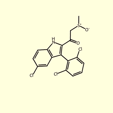 C[S+]([O-])CC(=O)c1[nH]c2ccc(Cl)cc2c1-c1c(Cl)cccc1Cl